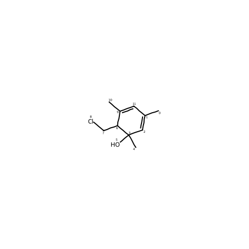 CC1=CC(C)(O)C(CCl)C(C)=C1